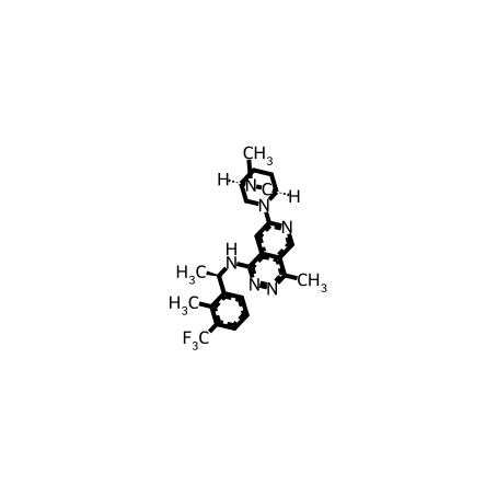 Cc1c([C@@H](C)Nc2nnc(C)c3cnc(N4C[C@H]5CC[C@@H]4CN5C)cc23)cccc1C(F)(F)F